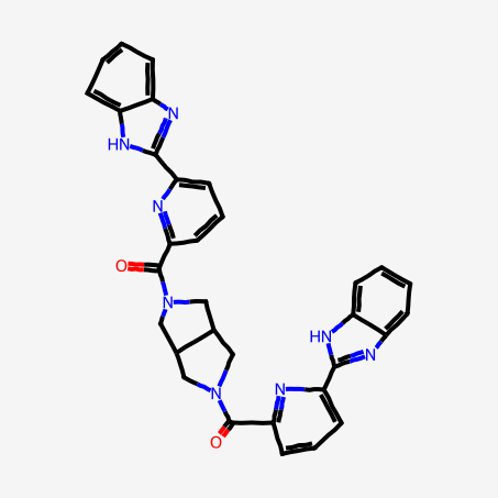 O=C(c1cccc(-c2nc3ccccc3[nH]2)n1)N1CC2CN(C(=O)c3cccc(-c4nc5ccccc5[nH]4)n3)CC2C1